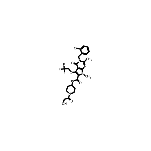 Cc1nc2c(c(OCC(F)(F)F)c(C(=O)NC3CCN(C(=O)CO)CC3)n2C)c(=O)n1Cc1ccccc1Cl